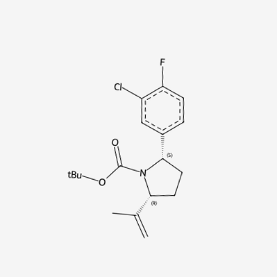 C=C(C)[C@H]1CC[C@@H](c2ccc(F)c(Cl)c2)N1C(=O)OC(C)(C)C